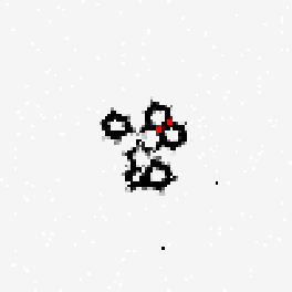 c1ccc(P(c2ccccc2)N(Cc2ccco2)P(c2ccccc2)c2ccccc2)cc1